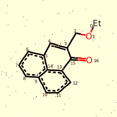 CCOCC1=Cc2cccc3cccc(c23)C1=O